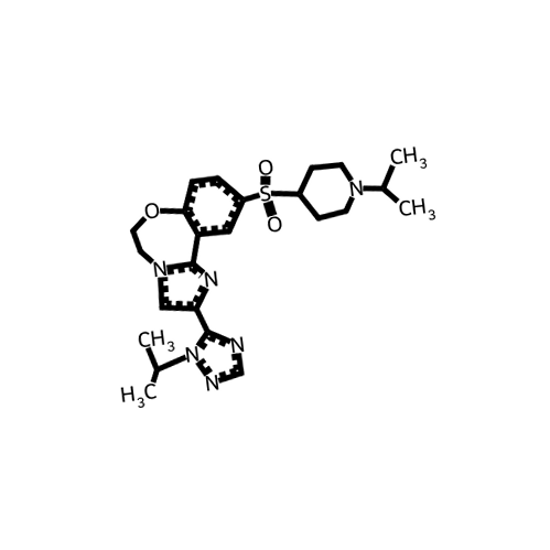 CC(C)N1CCC(S(=O)(=O)c2ccc3c(c2)-c2nc(-c4ncnn4C(C)C)cn2CCO3)CC1